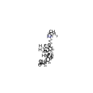 C#C/C=C\C(=C/C)CCCOc1cccc(C(=O)CNc2cc([C@H]3C[C@H]3C(=O)O)ccc2C(F)(F)F)c1C(C)C